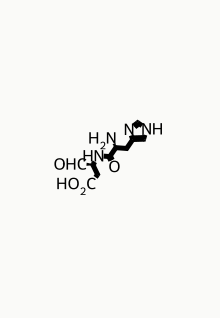 N[C@@H](Cc1c[nH]cn1)C(=O)N[C@H]([C]=O)CC(=O)O